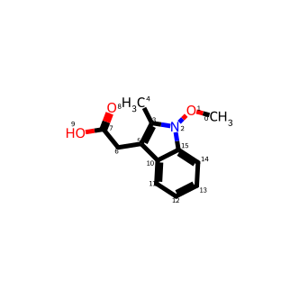 COn1c(C)c(CC(=O)O)c2ccccc21